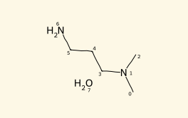 CN(C)CCCN.O